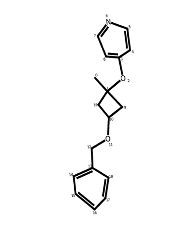 CC1(Oc2ccncc2)CC(OCc2ccccc2)C1